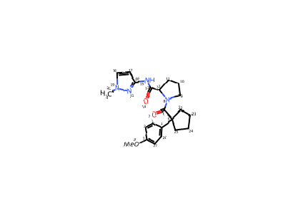 COc1ccc(C2(C(=O)N3CCC[C@@H]3C(=O)Nc3ccn(C)n3)CCCC2)cc1